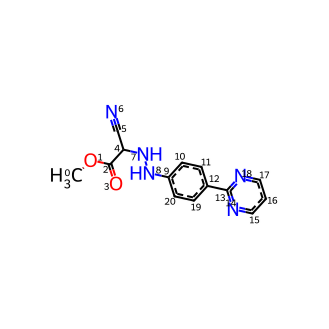 COC(=O)C(C#N)NNc1ccc(-c2ncccn2)cc1